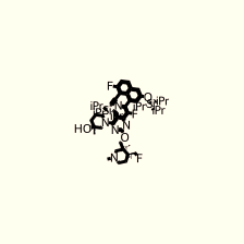 CC(C)[Si](C#Cc1c(F)ccc2cc(O[Si](C(C)C)(C(C)C)C(C)C)cc(-c3ncc4c(N5CCC[C@@](C)(O)C5)nc(OC[C@]5(C)CN(C)CC[C@@H]5CF)nc4c3F)c12)(C(C)C)C(C)C